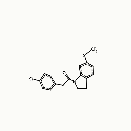 O=C(Cc1ccc(Cl)cc1)N1CCc2ccc(SC(F)(F)F)cc21